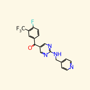 O=C(c1cnc(NCc2ccncc2)nc1)c1ccc(F)c(C(F)(F)F)c1